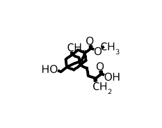 C=C(CCC12CC3(C)CC(CO)(C1)CC(C(=O)OC)(C3)C2)C(=O)O